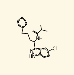 C=C(NC(CCCc1ccccc1)c1n[nH]c2ccc(Cl)cc12)C(C)C